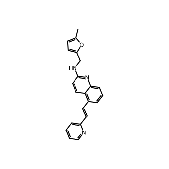 Cc1ccc(CNc2ccc3c(C=Cc4ccccn4)cccc3n2)o1